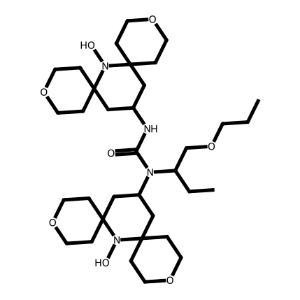 CCCOCC(CC)N(C(=O)NC1CC2(CCOCC2)N(O)C2(CCOCC2)C1)C1CC2(CCOCC2)N(O)C2(CCOCC2)C1